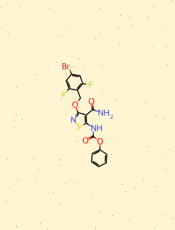 NC(=O)c1c(OCc2c(F)cc(Br)cc2F)nsc1NC(=O)Oc1ccccc1